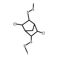 CSSC1C(Cl)C2CC1C(Cl)C2SSI